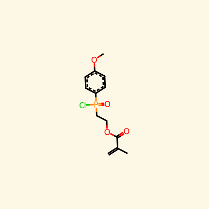 C=C(C)C(=O)OCCP(=O)(Cl)c1ccc(OC)cc1